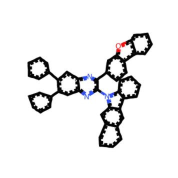 c1ccc(-c2cc3nc(-c4ccc5c(c4)oc4ccccc45)c(-n4c5ccccc5c5cc6ccccc6cc54)nc3cc2-c2ccccc2)cc1